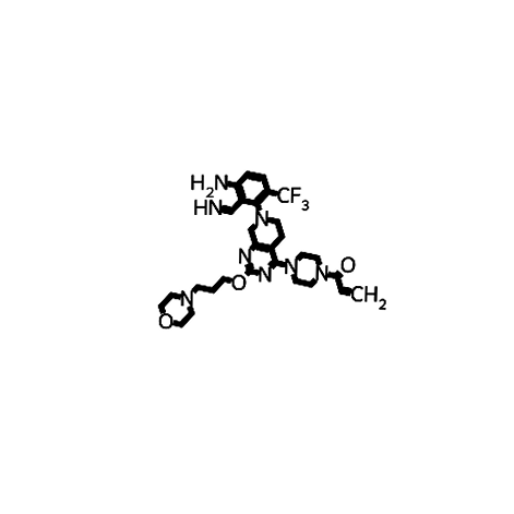 C=CC(=O)N1CCN(c2nc(OCCCN3CCOCC3)nc3c2CCN(c2c(C(F)(F)F)ccc(N)c2C=N)C3)CC1